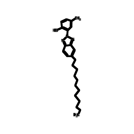 CCCCCCCCCCCCc1ccc2nn(-c3cc(C)ccc3O)nc2c1